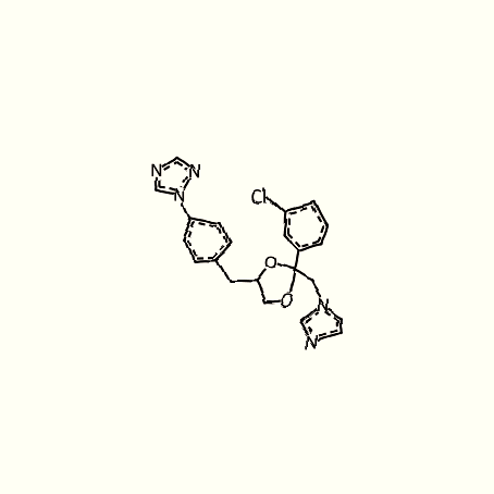 Clc1cccc(C2(Cn3ccnc3)OCC(Cc3ccc(-n4cncn4)cc3)O2)c1